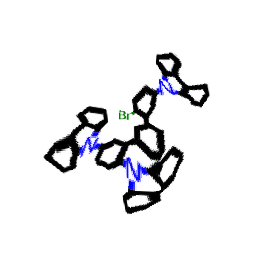 Brc1ccc(-n2c3ccccc3c3ccccc32)cc1-c1cccc(-c2cc(-n3c4ccccc4c4ccccc43)ccc2-n2c3ccccc3c3ccccc32)c1